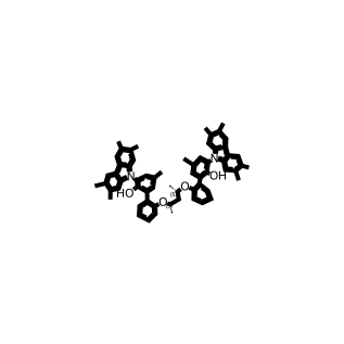 Cc1cc(-c2ccccc2O[C@@H](C)C[C@H](C)Oc2ccccc2-c2cc(C)cc(-n3c4cc(C)c(C)cc4c4cc(C)c(C)cc43)c2O)c(O)c(-n2c3cc(C)c(C)cc3c3cc(C)c(C)cc32)c1